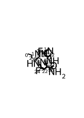 CCC[C@H](CN)Nc1nc(Nc2cncc(F)c2)c(C(N)=O)cc1F